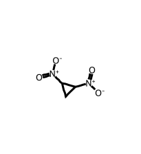 O=[N+]([O-])C1CC1[N+](=O)[O-]